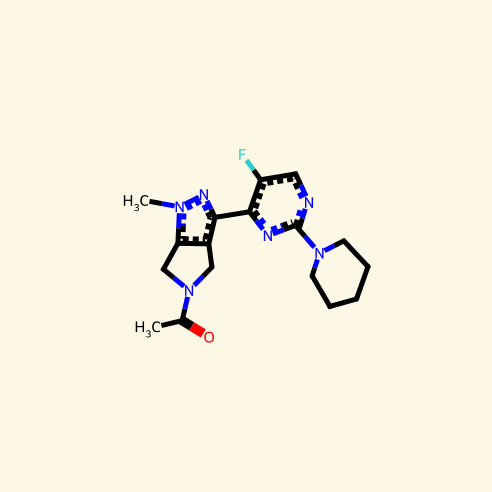 CC(=O)N1Cc2c(-c3nc(N4CCCCC4)ncc3F)nn(C)c2C1